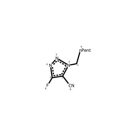 CCCCCCn1nnc(F)c1C#N